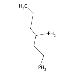 CCCC(P)CCP